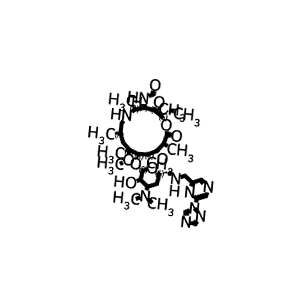 CC[C@@H]1OC(=O)C(C)C(=O)[C@H](C)[C@@H](O[C@@H]2O[C@H](CNCc3cncc(-n4cncn4)n3)CC(N(C)C)C2O)[C@](C)(OC)C[C@@H](C)CN[C@H](C)[C@H]2NC(=O)O[C@]12C